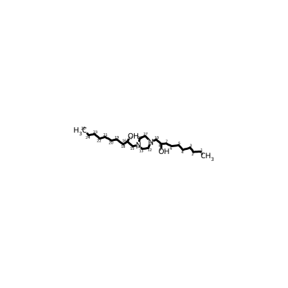 CCCCCCCCC(O)CN1CCN(CC(O)CCCCCCCC)CC1